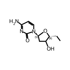 CC[C@H]1O[C@H](n2ccc(N)nc2=O)CC1O